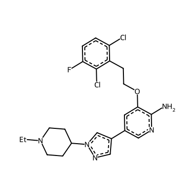 CCN1CCC(n2cc(-c3cnc(N)c(OCCc4c(Cl)ccc(F)c4Cl)c3)cn2)CC1